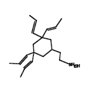 CC=CC1(C=CC)CC(CCN)CC(C=CC)(C=CC)C1.Cl